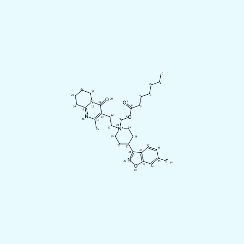 CCCCCCC(=O)OC[N+]1(CCc2c(C)nc3n(c2=O)CCCC3)CCC(c2noc3cc(F)ccc23)CC1